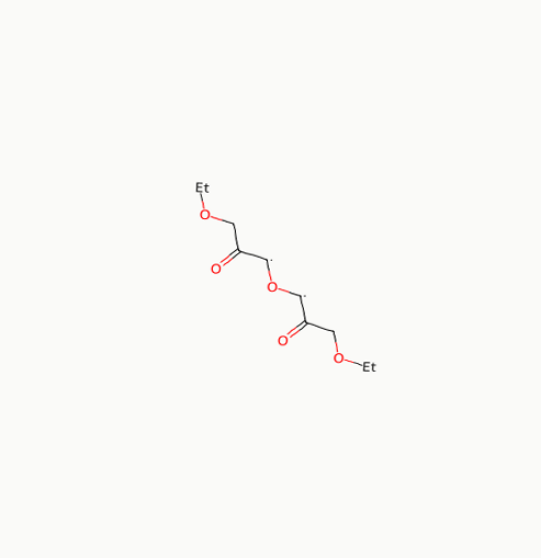 CCOCC(=O)[CH]O[CH]C(=O)COCC